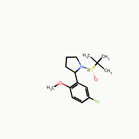 COc1ccc(F)cc1C1CCCN1[S@@+]([O-])C(C)(C)C